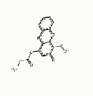 COC(=O)Oc1cc(=O)c(OC)c2oc3ccccc3nc1-2